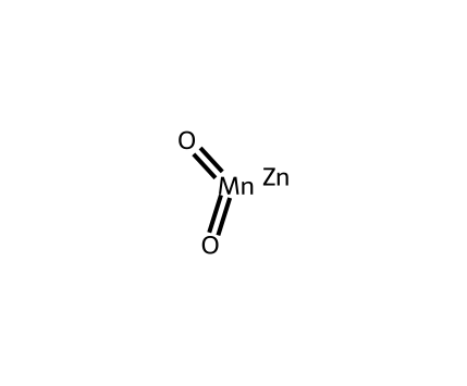 [O]=[Mn]=[O].[Zn]